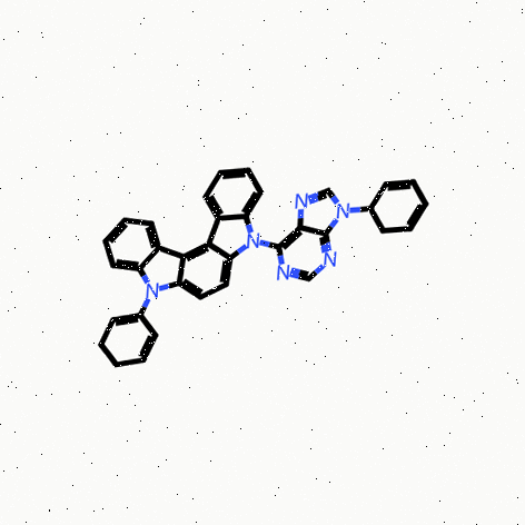 C1=CCC(n2cnc3c(-n4c5ccccc5c5c6c7ccccc7n(C7=CCCC=C7)c6ccc54)ncnc32)C=C1